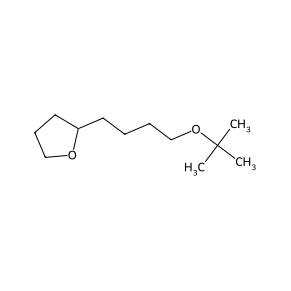 CC(C)(C)OCCCCC1CCCO1